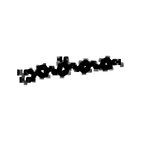 CCN(CC)c1ccc(N=Nc2ccc(N=Nc3ccc(N=Cc4ccc(C)cc4)cc3)c(C)c2)cc1